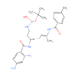 C/C(=C\CC(CCNC(O)OC(C)(C)C)NC(=O)c1ccc(N)cc1N)NC(=O)c1ccc(C)cc1